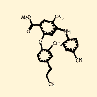 COC(=O)c1cc(N)c(Nc2ccc(C#N)cc2)cc1Oc1ccc(CCC#N)cc1C